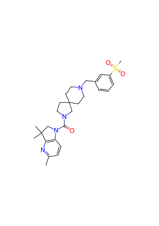 Cc1ccc2c(n1)C(C)(C)CN2C(=O)N1CCC2(CCN(Cc3cccc(S(C)(=O)=O)c3)CC2)C1